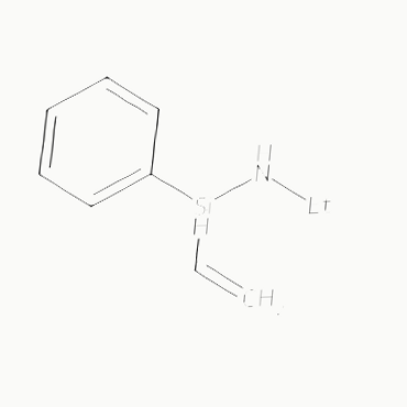 C=C[SiH](NCC)c1ccccc1